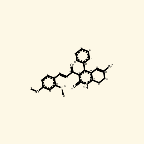 COc1ccc(C=CC(=O)c2c(-c3ccccc3)c3c([nH]c2=O)CCC(Br)=C3)c(OC)c1